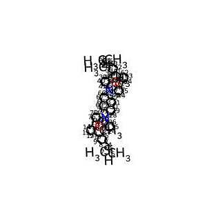 Cc1cc(C[SiH](C)C)ccc1-c1cccc2c1oc1c(N(c3ccccc3)c3ccc4ccc5c(N(c6ccccc6)c6cccc7c6oc6c(-c8ccc([Si](C)(C)C)cc8C)cccc67)ccc6ccc3c4c65)cccc12